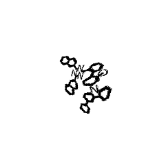 c1ccc(-c2ccc3c(c2)c2ccccc2n3-c2ccc3c(c2)oc2cccc(-c4nc(-c5ccc6ccccc6c5)nc(-c5ccc6ccccc6c5)n4)c23)cc1